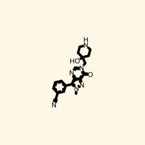 Cn1nc2c(=O)n(CC3(O)CCNCC3)cnc2c1-c1cccc(C#N)c1